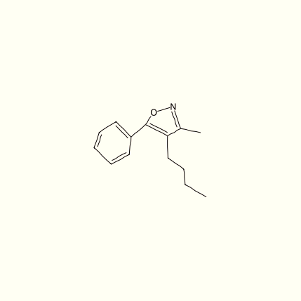 CCCCc1c(C)noc1-c1ccccc1